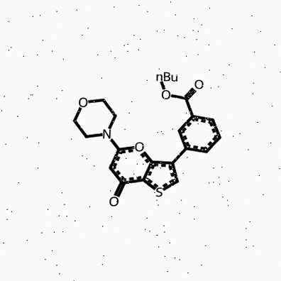 CCCCOC(=O)c1cccc(-c2csc3c(=O)cc(N4CCOCC4)oc23)c1